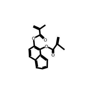 C=C(C)C(=O)Oc1ccc2ccccc2c1OC(=O)C(=C)C